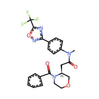 CN(C(=O)C[C@H]1COCCN1C(=O)c1ccccc1)c1ccc(-c2noc(C(F)(F)F)n2)cc1